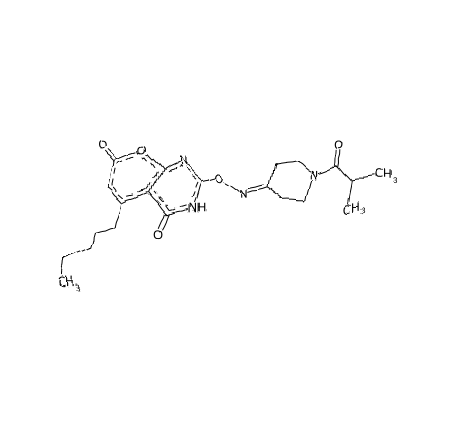 CCCCCc1cc(=O)oc2nc(ON=C3CCN(C(=O)C(C)C)CC3)[nH]c(=O)c12